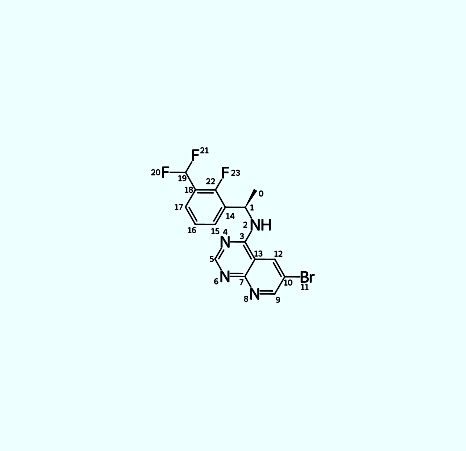 C[C@@H](Nc1ncnc2ncc(Br)cc12)c1cccc(C(F)F)c1F